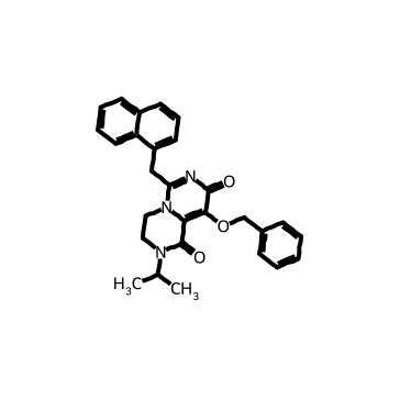 CC(C)N1CCn2c(Cc3cccc4ccccc34)nc(=O)c(OCc3ccccc3)c2C1=O